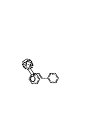 O=C(C=Cc1ccccc1)[C]12[CH]3[CH]4[CH]5[CH]1[Fe]45321678[CH]2[CH]1[CH]6[C]7(c1ccccc1)[CH]28